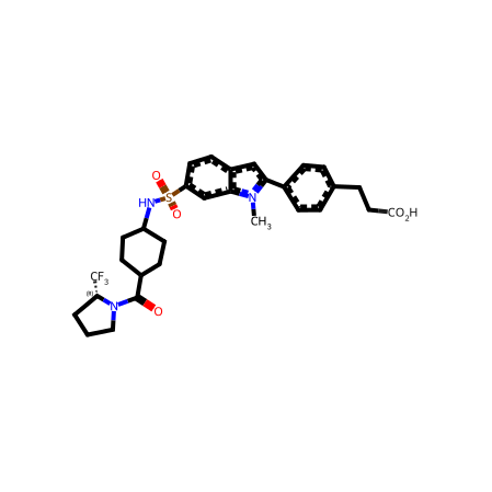 Cn1c(-c2ccc(CCC(=O)O)cc2)cc2ccc(S(=O)(=O)NC3CCC(C(=O)N4CCC[C@@H]4C(F)(F)F)CC3)cc21